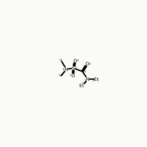 CCN(CC)C(=O)S(=O)(=O)N(C)C